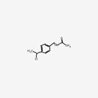 CC(=O)NCc1ccc(C(C)Cl)cc1